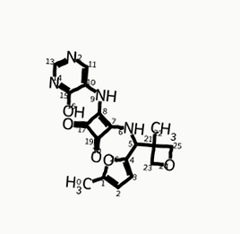 Cc1ccc(C(Nc2c(Nc3cncnc3O)c(=O)c2=O)C2(C)COC2)o1